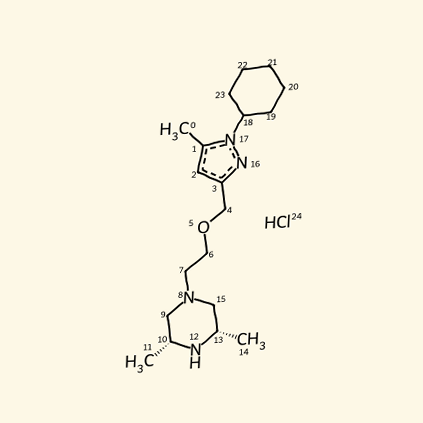 Cc1cc(COCCN2C[C@@H](C)N[C@@H](C)C2)nn1C1CCCCC1.Cl